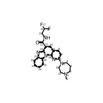 CN1CCCN(c2ccc3cc(C(=O)NCC(F)F)c4nc5ccccc5n4c3n2)CC1